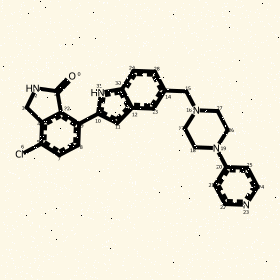 O=C1NCc2c(Cl)ccc(-c3cc4cc(CN5CCN(c6ccncc6)CC5)ccc4[nH]3)c21